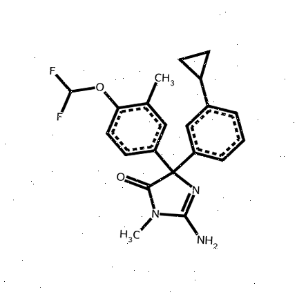 Cc1cc(C2(c3cccc(C4CC4)c3)N=C(N)N(C)C2=O)ccc1OC(F)F